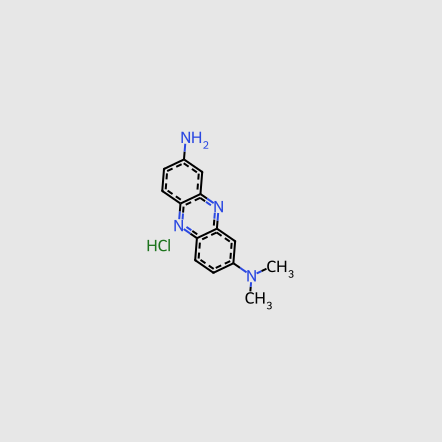 CN(C)c1ccc2nc3ccc(N)cc3nc2c1.Cl